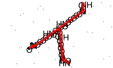 CNC(=O)CCc1cn(CCOCCOCCOCCOCCOCCNC(=O)CCOCCN(CCOCCC(=O)NCCOCCOCCOCCOCCOCCn2cc(CCC(C)=O)nn2)CCOCCC(=O)NCCOCCOCCOCCOCCOCCn2cc(CCC(=O)NC)nn2)nn1